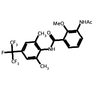 COc1c(NC(C)=O)cccc1C(=O)Nc1c(C)cc(C(F)(C(F)(F)F)C(F)(F)F)cc1C